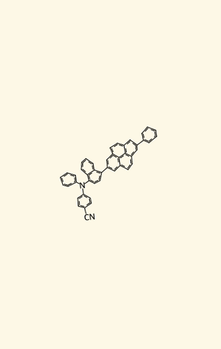 N#Cc1ccc(N(c2ccccc2)c2ccc(-c3cc4ccc5cc(-c6ccccc6)cc6ccc(c3)c4c56)c3ccccc23)cc1